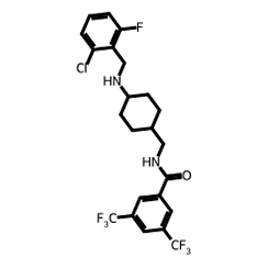 O=C(NCC1CCC(NCc2c(F)cccc2Cl)CC1)c1cc(C(F)(F)F)cc(C(F)(F)F)c1